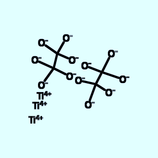 [O-]C([O-])([O-])C([O-])([O-])[O-].[O-]C([O-])([O-])C([O-])([O-])[O-].[Ti+4].[Ti+4].[Ti+4]